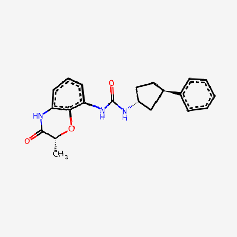 C[C@H]1Oc2c(NC(=O)N[C@@H]3CC[C@@H](c4ccccc4)C3)cccc2NC1=O